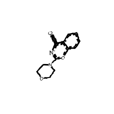 O=c1nc(N2CCOCC2)oc2ccccc12